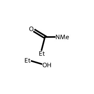 CCC(=O)NC.CCO